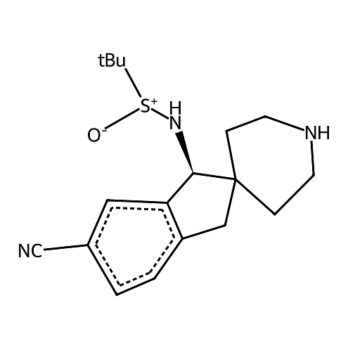 CC(C)(C)[S+]([O-])N[C@@H]1c2cc(C#N)ccc2CC12CCNCC2